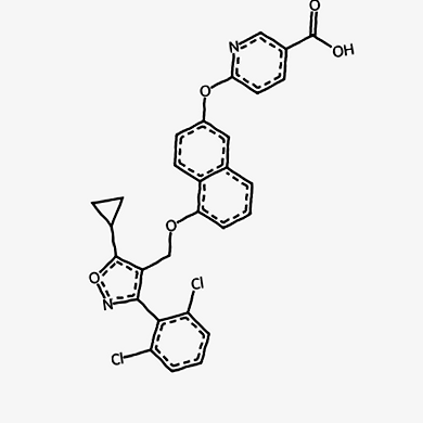 O=C(O)c1ccc(Oc2ccc3c(OCc4c(-c5c(Cl)cccc5Cl)noc4C4CC4)cccc3c2)nc1